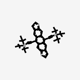 CC(C)(C)[Si](C#Cc1c2cc3ccsc3cc2c(C#C[Si](C(C)(C)C)(C(C)(C)C)C(C)(C)C)c2cc3ccsc3cc12)(C(C)(C)C)C(C)(C)C